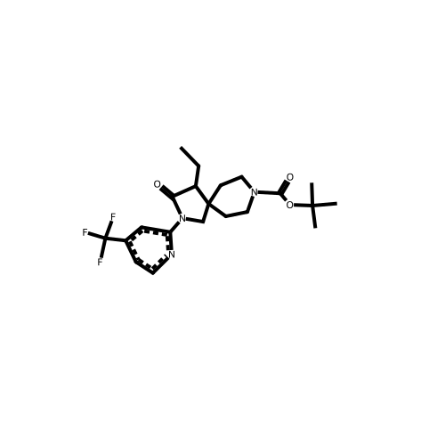 CCC1C(=O)N(c2cc(C(F)(F)F)ccn2)CC12CCN(C(=O)OC(C)(C)C)CC2